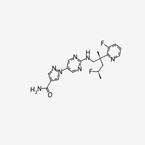 C[C@@H](F)C[C@](C)(CNc1ncc(-n2cc(C(N)=O)cn2)cn1)c1ncccc1F